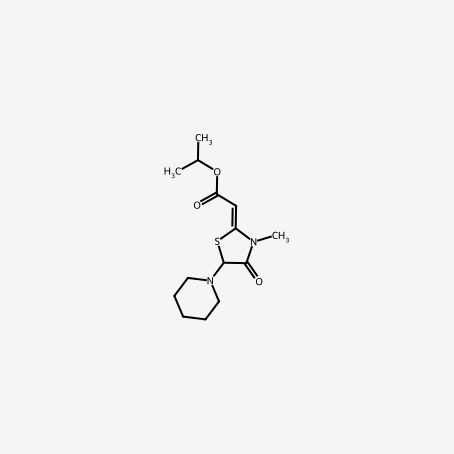 CC(C)OC(=O)/C=C1\SC(N2CCCCC2)C(=O)N1C